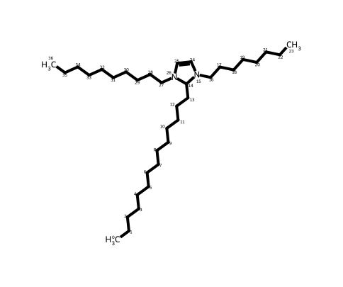 CCCCCCCCCCCCCCC1N(CCCCCCCC)C=CN1CCCCCCCCCC